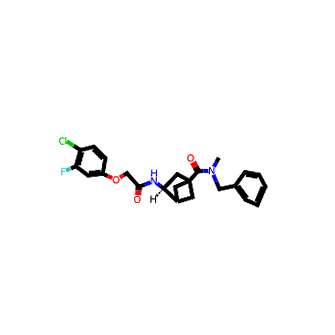 CN(Cc1ccccc1)C(=O)C12CC(C1)[C@@H](NC(=O)COc1ccc(Cl)c(F)c1)C2